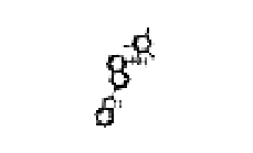 Cc1cc(C)c(Nc2cccc3cc(-c4cc5ccccc5o4)ccc23)c(C)c1